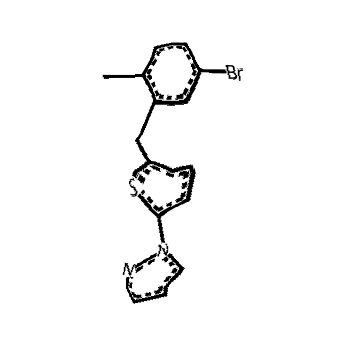 Cc1ccc(Br)cc1Cc1ccc(-n2cccn2)s1